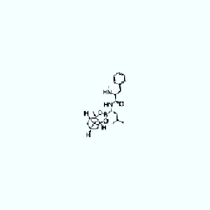 CN[C@@H](Cc1ccccc1)C(=O)N[C@@H](CC(C)C)B1O[C@@H]2C[C@@H]3C[C@@H](C3(C)C)[C@]2(C)O1